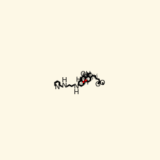 COC(=O)CC[C@@H](C)[C@H]1CC[C@H]2[C@@H]3[C@H](O)C[C@H]4C[C@@H](NCCCCNCc5ccccn5)CC[C@]4(C)[C@H]3CC[C@]12C